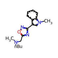 CCCCN(C)Cc1nc(-c2cn(C)c3ccccc23)no1